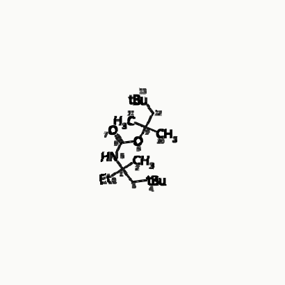 CCC(C)(CC(C)(C)C)NC(=O)OC(C)(C)CC(C)(C)C